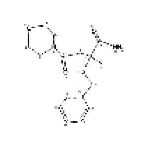 CC([CH]C(=O)N1CCOCC1)(SCc1ccccc1)C(N)=O